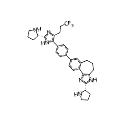 FC(F)(F)CCc1nc([C@@H]2CCCN2)[nH]c1-c1ccc(-c2ccc3c(c2)CCCc2[nH]c([C@@H]4CCCN4)nc2-3)cc1